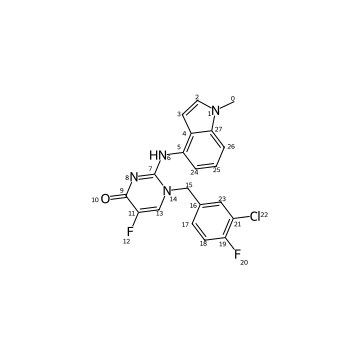 Cn1ccc2c(Nc3nc(=O)c(F)cn3Cc3ccc(F)c(Cl)c3)cccc21